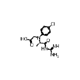 C[C@H](C(=O)NC(=N)N)N(CC(=O)O)c1ccc(Cl)cc1